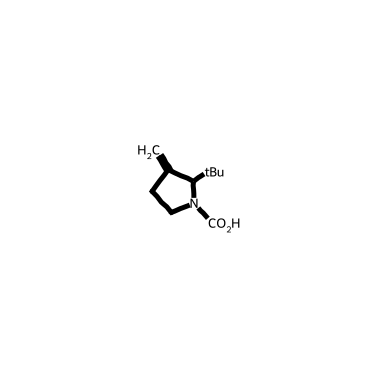 C=C1CCN(C(=O)O)C1C(C)(C)C